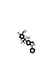 O=Cc1cc(C(O)(c2ccc3c(cnn3-c3ccccc3)c2)C(F)(F)F)ccc1F